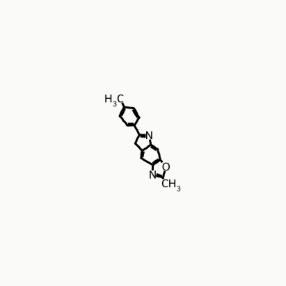 Cc1ccc(C2=Nc3cc4oc(C)nc4cc3C2)cc1